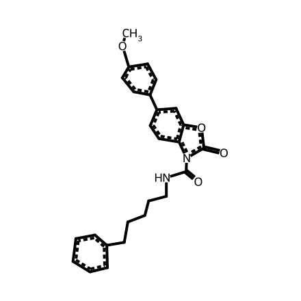 COc1ccc(-c2ccc3c(c2)oc(=O)n3C(=O)NCCCCCc2ccccc2)cc1